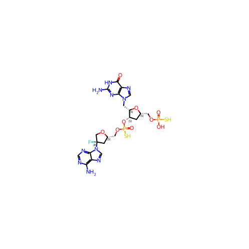 Nc1nc2c(ncn2C[C@@H]2O[C@H](COP(=O)(O)S)C[C@@H]2OP(=O)(S)OC[C@@H]2C[C@](F)(n3cnc4c(N)ncnc43)CO2)c(=O)[nH]1